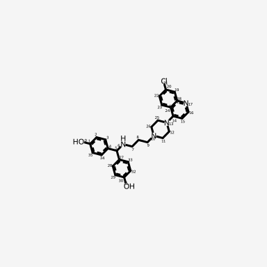 Oc1ccc(C(NCCCN2CCN(c3ccnc4cc(Cl)ccc34)CC2)c2ccc(O)cc2)cc1